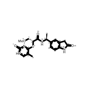 COC[C@@H](Sc1nc(=O)[nH]cc1C)C(=O)N[C@@H](C)c1ccc2c(c1)CC(=O)N2